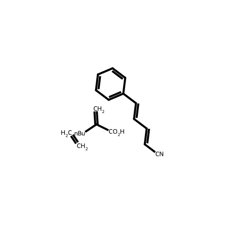 C=C.C=C(CCCC)C(=O)O.N#CC=CC=Cc1ccccc1